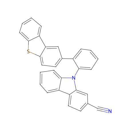 N#Cc1ccc2c3ccccc3n(-c3ccccc3-c3ccc4sc5ccccc5c4c3)c2c1